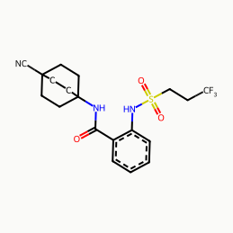 N#CC12CCC(NC(=O)c3ccccc3NS(=O)(=O)CCC(F)(F)F)(CC1)CC2